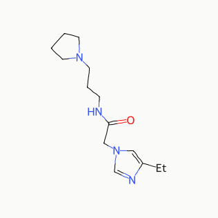 CCc1cn(CC(=O)NCCCN2CCCC2)cn1